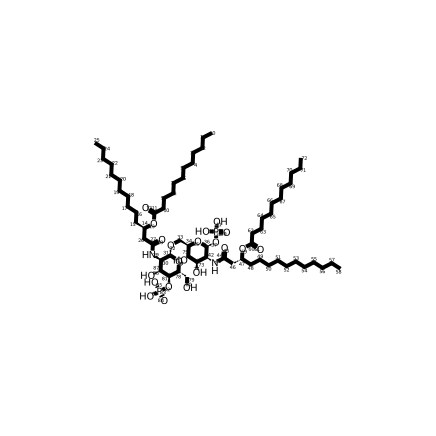 CCCCCCCCCCCC(=O)O[C@H](CCCCCCCCCCC)CC(=O)N[C@H]1[C@H](OC[C@H]2O[C@H](OP(=O)(O)O)[C@H](NC(=O)C[C@@H](CCCCCCCCCCC)OC(=O)CCCCCCCCCCC)[C@@H](O)[C@@H]2O)O[C@H](CO)[C@@H](OP(=O)(O)O)[C@@H]1O